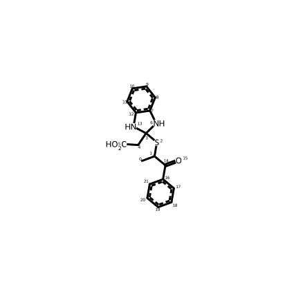 CC(SC1(CC(=O)O)Nc2ccccc2N1)C(=O)c1ccccc1